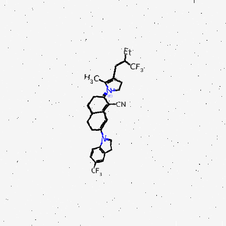 CCC(CC1=C(C)/[N+](=C2\CCC3CCC(N4CCc5cc(C(F)(F)F)ccc54)=CC3=C2C#N)CC1)C(F)(F)F